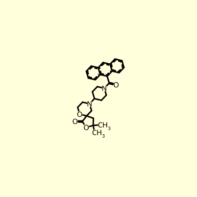 CC1(C)CC2(CN(C3CCN(C(=O)c4c5ccccc5cc5ccccc45)CC3)CCO2)C(=O)O1